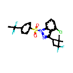 CC(F)(F)c1ccc(S(=O)(=O)n2nc(C3CC(F)(F)C3(C)C)c3c(Cl)cccc32)cc1